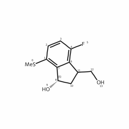 CSc1ccc(F)c2c1[C@@H](O)CC2CO